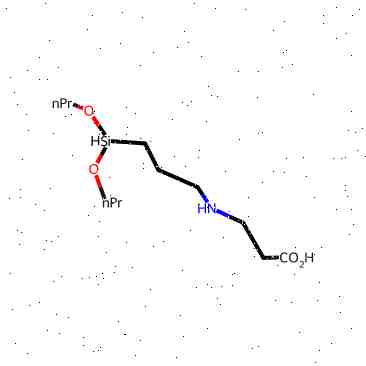 CCCO[SiH](CCCNCCC(=O)O)OCCC